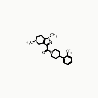 CN1CCc2c(c(C(=O)N3CCC(c4ccccc4C(F)(F)F)CC3)nn2C)C1